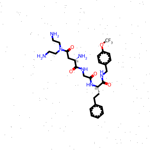 NCCN(CCN)C(=O)C[C@H](N)C(=O)NCC(=O)N[C@@H](CCc1ccccc1)C(=O)NCc1ccc(OC(F)(F)F)cc1